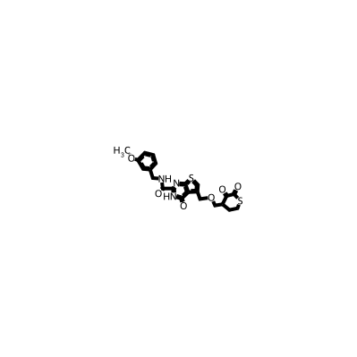 COc1cccc(CNC(=O)c2nc3scc(COCC4CCSC(=O)C4=O)c3c(=O)[nH]2)c1